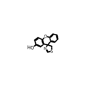 Oc1ccc2c(c1)C1(CSC=N1)c1ccccc1O2